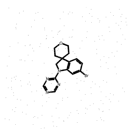 Brc1ccc2c(c1)N(c1ncncn1)CC21CCOCC1